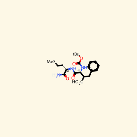 CSCC[C@H](NC(=O)[C@@H](NC(=O)OC(C)(C)C)C(Cc1ccccc1)C(=O)O)C(N)=O